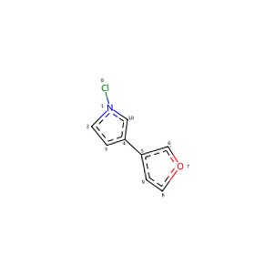 Cln1ccc(-c2[c]occ2)c1